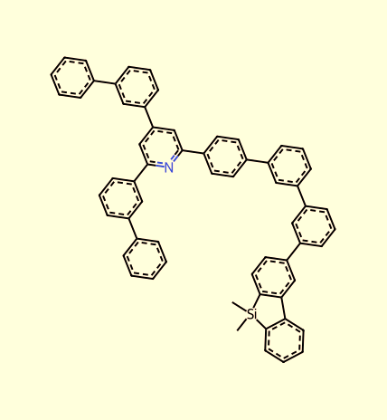 C[Si]1(C)c2ccccc2-c2cc(-c3cccc(-c4cccc(-c5ccc(-c6cc(-c7cccc(-c8ccccc8)c7)cc(-c7cccc(-c8ccccc8)c7)n6)cc5)c4)c3)ccc21